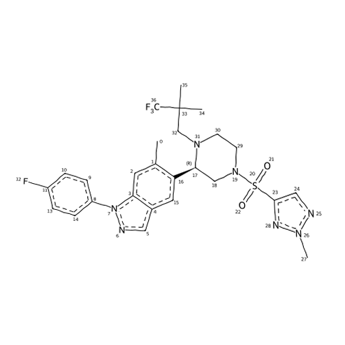 Cc1cc2c(cnn2-c2ccc(F)cc2)cc1[C@@H]1CN(S(=O)(=O)c2cnn(C)n2)CCN1CC(C)(C)C(F)(F)F